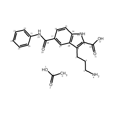 CC(=O)O.NCCCc1c(C(=O)O)[nH]c2ccc(C(=O)Nc3ccccc3)cc12